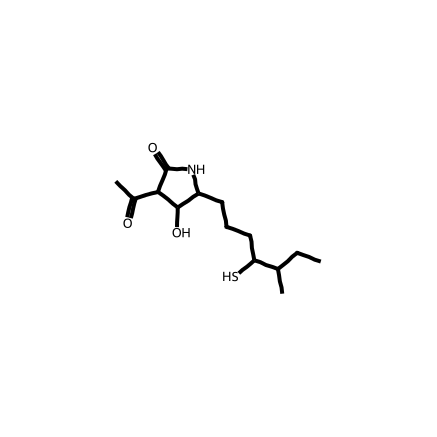 CCC(C)C(S)CCCC1NC(=O)C(C(C)=O)C1O